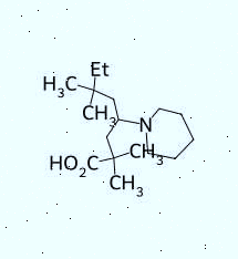 CCC(C)(C)CC(CC(C)(C)C(=O)O)N1CCCCC1